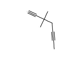 [C]#CC(C)(C)CC#CC